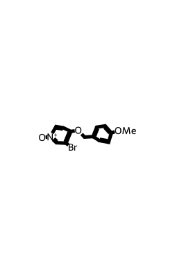 COc1ccc(COc2cc[n+]([O-])cc2Br)cc1